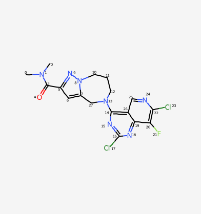 CN(C)C(=O)c1cc2n(n1)CCCN(c1nc(Cl)nc3c(F)c(Cl)ncc13)C2